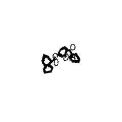 O=C(c1ccccc1)c1ccc(OC(=O)c2cccc3ccccc23)cc1O